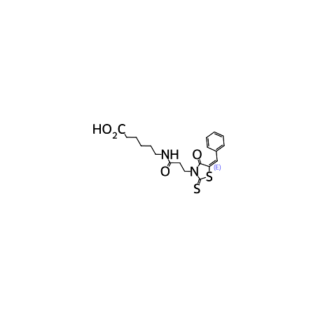 O=C(O)CCCCCNC(=O)CCN1C(=O)/C(=C\c2ccccc2)SC1=S